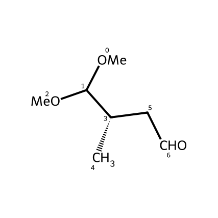 COC(OC)[C@@H](C)CC=O